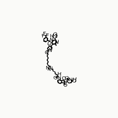 CC1=C(c2ccc(OCCCCCCc3cn(CCCCCC(=O)Nc4cccc5c4C(=O)N(C4CCC(=O)NC4=O)C5=O)nn3)nc2)CC(NC(=O)c2cccc(C(F)(F)F)c2)(N2CCOCC2)C=N1